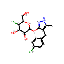 Cc1[nH]nc(OC2OC(CO)C(F)C(O)C2O)c1Cc1ccc(Cl)cc1